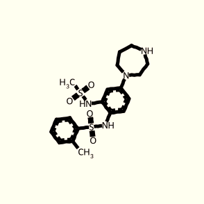 Cc1ccccc1S(=O)(=O)Nc1ccc(N2CCCNCC2)cc1NS(C)(=O)=O